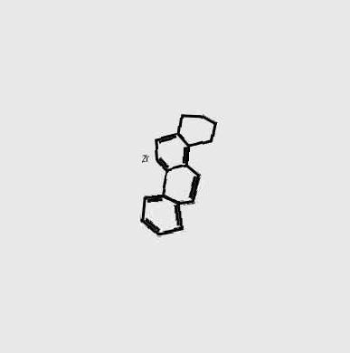 [Zr].c1ccc2c(c1)ccc1c3c(ccc12)CCCC3